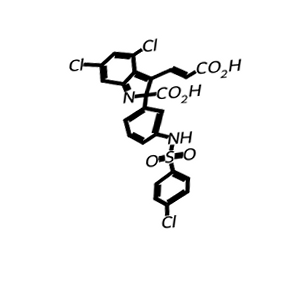 O=C(O)C=CC1=c2c(Cl)cc(Cl)cc2=NC1(C(=O)O)c1cccc(NS(=O)(=O)c2ccc(Cl)cc2)c1